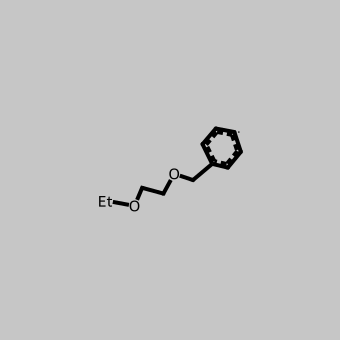 CCOCCOCc1cc[c]cc1